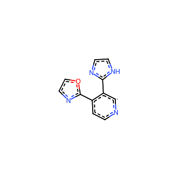 [c]1nccc(-c2ncco2)c1-c1ncc[nH]1